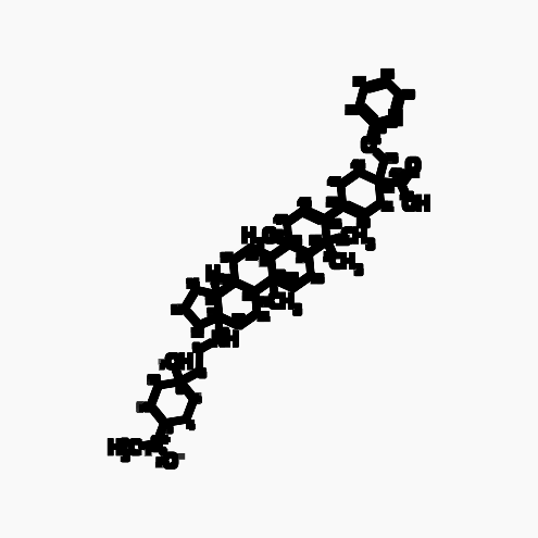 C[S+]([O-])C1CCC(O)(CCNC23CCC[C@@H]2C2CCC4C(C)(CCC5C(C)(C)C(C6=CCC(COc7ccccn7)(C(=O)O)CC6)=CCC54C)C2CC3)CC1